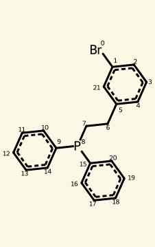 Brc1cccc(CCP(c2ccccc2)c2ccccc2)c1